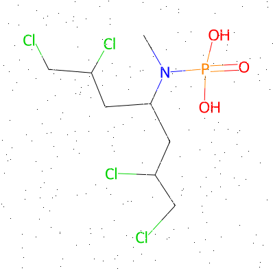 CN(C(CC(Cl)CCl)CC(Cl)CCl)P(=O)(O)O